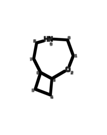 C1COC2CCC2CCN1